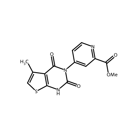 COC(=O)c1cc(-n2c(=O)[nH]c3scc(C)c3c2=O)ccn1